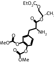 CCOC(=O)OC[C@H](C)OC(=O)[C@@H](N)Cc1ccc(OC(=O)OC)c(OC(=O)OC)c1